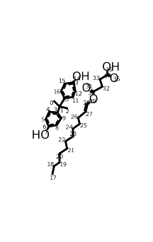 CC(C)(c1ccc(O)cc1)c1ccc(O)cc1.CCCCCCCCCCC=COC(=O)CCC(=O)O